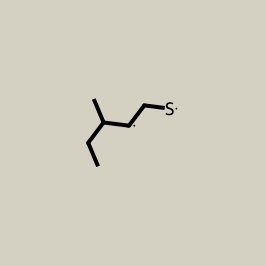 CCC(C)[CH]C[S]